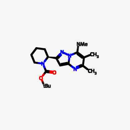 CNc1c(C)c(C)nc2cc([C@@H]3CCCCN3C(=O)OC(C)(C)C)nn12